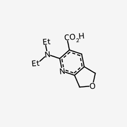 CCN(CC)c1nc2c(cc1C(=O)O)COC2